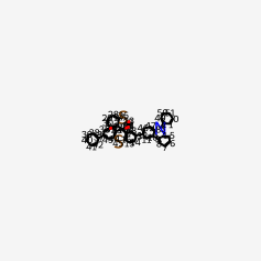 C1=CC(n2c3ccccc3c3cc(-c4ccc5c(c4)C4(c6ccccc6Sc6ccccc64)c4ccc(-c6ccccc6)cc4S5)ccc32)=CCC1